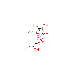 O=P([O-])(OCC(O)CO)O[C@@H]1O[C@H](CO)[C@@H](O)[C@H](O)[C@H]1O.[K+]